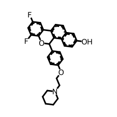 Oc1ccc2c3c(ccc2c1)-c1cc(F)cc(F)c1OC3c1ccc(OCCN2CCCCC2)cc1